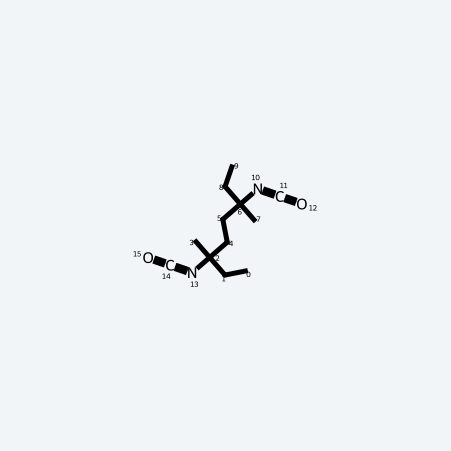 CCC(C)(CCC(C)(CC)N=C=O)N=C=O